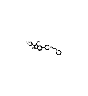 CC(C)c1c(-c2cn[nH]c2)[nH]c2ccc(C3CCN(CCCN4CCCCC4)CC3)cc12